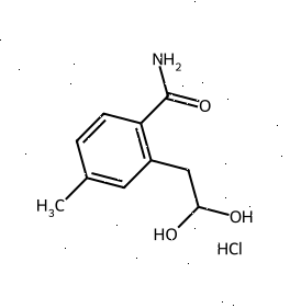 Cc1ccc(C(N)=O)c(CC(O)O)c1.Cl